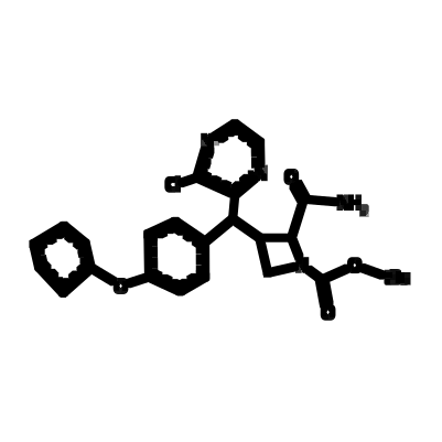 CC(C)(C)OC(=O)N1CC(C(c2ccc(Oc3ccccc3)cc2)c2nccnc2Cl)C1C(N)=O